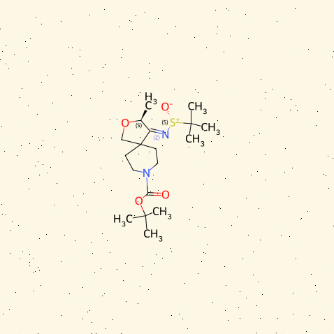 C[C@@H]1OCC2(CCN(C(=O)OC(C)(C)C)CC2)/C1=N/[S@+]([O-])C(C)(C)C